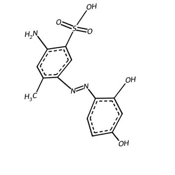 Cc1cc(N)c(S(=O)(=O)O)cc1N=Nc1ccc(O)cc1O